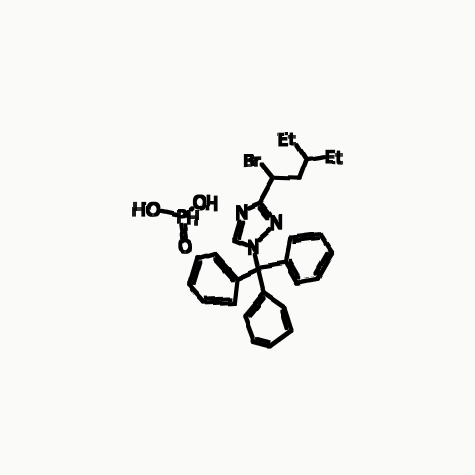 CCC(CC)CC(Br)c1ncn(C(c2ccccc2)(c2ccccc2)c2ccccc2)n1.O=[PH](O)O